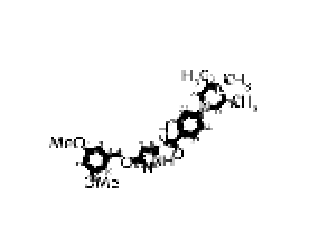 COc1cc(COc2cc(NC(=O)c3ccc(N4C[C@@H](C)N(C)[C@@H](C)C4)cc3)[nH]n2)cc(OC)c1